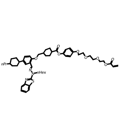 C=CC(=O)OCCOCCOCCOc1ccc(OC(=O)C2CCC(COc3ccc(C4CCC(CCC)CC4)cc3/C=N/N(CCCCCC)c3nc4ccccc4s3)CC2)cc1